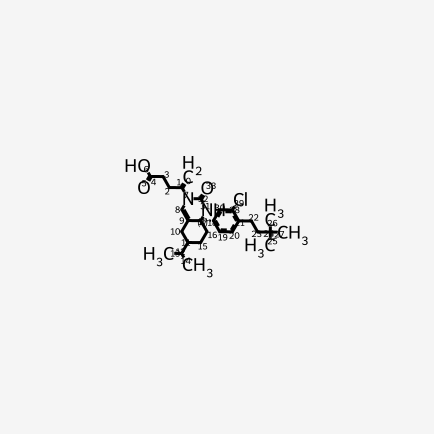 C=C(CCC(=O)O)N1C=C2CC(C(C)C)CC[C@]2(c2ccc(CCC(C)(C)C)c(Cl)c2)NC1=O